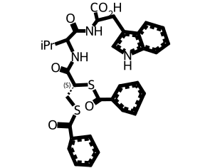 CC(C)C(NC(=O)[C@@H](CSC(=O)c1ccccc1)SC(=O)c1ccccc1)C(=O)NC(Cc1c[nH]c2ccccc12)C(=O)O